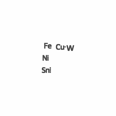 [Cu].[Fe].[Ni].[Sn].[W]